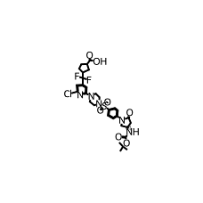 CC(C)(C)OC(=O)N[C@@H]1CC(=O)N(c2ccc(S(=O)(=O)N3CCN(c4cc(C(F)(F)C5CCC(C(=O)O)C5)cc(Cl)n4)CC3)cc2)C1